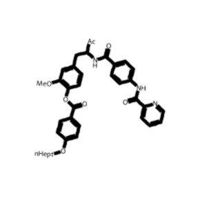 CCCCCCCOc1ccc(C(=O)Oc2ccc(CC(NC(=O)c3ccc(NC(=O)c4ccccn4)cc3)C(C)=O)cc2OC)cc1